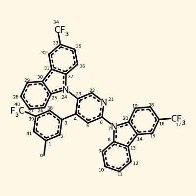 Cc1cc(-c2cc(-n3c4ccccc4c4cc(C(F)(F)F)ccc43)ncc2-n2c3ccccc3c3cc(C(F)(F)F)ccc32)cc(C(F)(F)F)c1